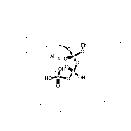 CCOP(=O)(OCC)OP(=O)(O)OP(=O)(O)O.[AlH3]